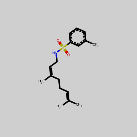 CC(C)=CCCC(C)=CCNS(=O)(=O)c1cccc(C(F)(F)F)c1